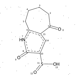 O=C1CCCCc2[nH]c(=O)c(S(=O)O)cc21